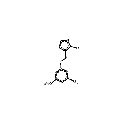 CCc1ncsc1CSc1nc(OC)cc(C(F)(F)F)n1